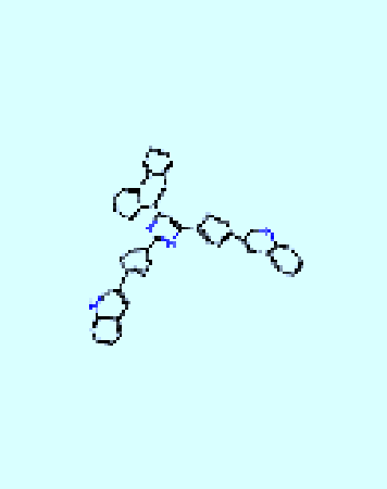 c1ccc2ncc(-c3ccc(-c4cc(-c5cc6ccccc6c6ccccc56)nc(-c5ccc(-c6cnc7ccccc7c6)cc5)n4)cc3)cc2c1